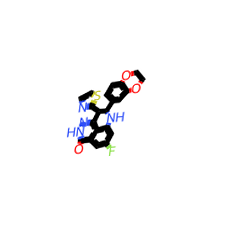 O=c1[nH]nc2c3c(cc(F)cc13)NC(c1ccc3c(c1)OCCO3)C2c1nccs1